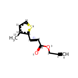 C#CCOC(=O)/C=C/c1sccc1C